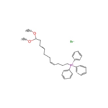 CCCCOC(CCCCC/C=C\CCC[P+](c1ccccc1)(c1ccccc1)c1ccccc1)OCCCC.[Br-]